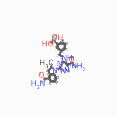 CC1Cc2c(C(N)=O)cccc2N1c1nnc(C(N)=O)c(NCc2cccc(B(O)O)c2)n1